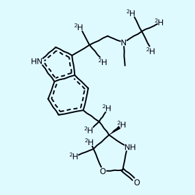 [2H]C([2H])(CN(C)C([2H])([2H])[2H])c1c[nH]c2ccc(C([2H])([2H])[C@]3([2H])NC(=O)OC3([2H])[2H])cc12